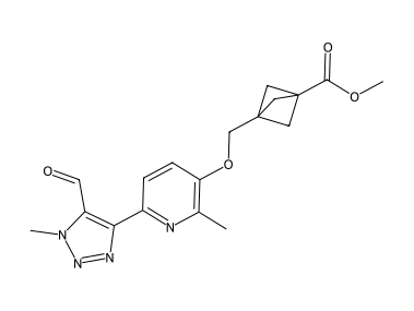 COC(=O)C12CC(COc3ccc(-c4nnn(C)c4C=O)nc3C)(C1)C2